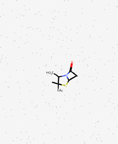 CC(=O)OC1(C)SC2CC(=O)N2C1C(=O)O